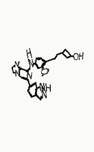 COc1cc(NC2=NC(c3ccc4cn[nH]c4c3)=CN3CCN=C23)ccc1CCC1CC(O)C1